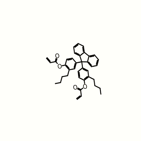 C=CC(=O)Oc1ccc(C2(c3ccc(OC(=O)C=C)c(CCCC)c3)c3ccccc3-c3ccccc32)cc1CCCC